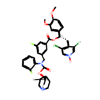 COc1ccc([C@H](Cc2c(Cl)c[n+]([O-])cc2Cl)OC(=O)c2cc(F)cc(CN(C(=O)O[C@H]3CN4CCC3CC4)c3ccccc3F)c2)cc1OC